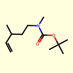 C=CC(C)CCN(C)C(=O)OC(C)(C)C